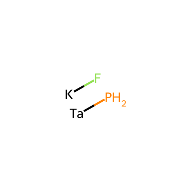 [F][K].[PH2][Ta]